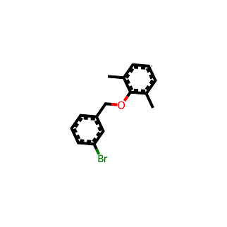 Cc1c[c]cc(C)c1OCc1cccc(Br)c1